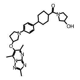 Cc1nc2nc(C)c(OC3CCN(c4ccc(C5CCC(C(=O)N6CCC(O)C6)CC5)cc4)C3)c(C)n2n1